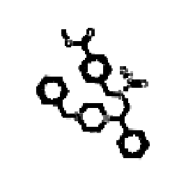 COC(=O)c1ccc(CN(CC(c2ccccc2)N2CCN(Cc3ccccc3)CC2)[SH](=O)=O)cc1